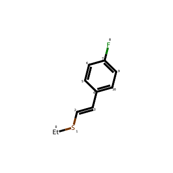 CCSC=Cc1ccc(F)cc1